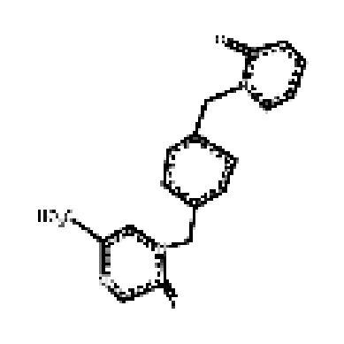 O=C(O)c1cn(Cc2ccc(Cn3ccccc3=O)cc2)c(=O)cn1